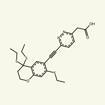 CCSc1cc2c(cc1C#Cc1ccc(CC(=O)O)nn1)C(SCC)(SCC)CCO2